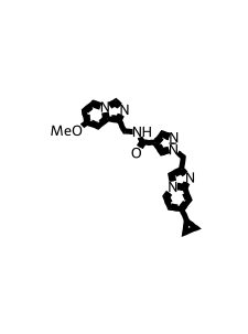 COc1ccn2cnc(CNC(=O)c3cnn(Cc4cn5ccc(C6CC6)cc5n4)c3)c2c1